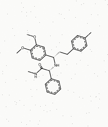 CNC(=O)[C@H](N[C@@H](CCc1ccc(C)cc1)c1ccc(OC)c(OC)c1)c1ccccc1